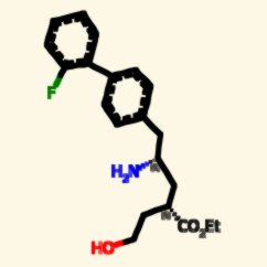 CCOC(=O)[C@H](CCO)C[C@H](N)Cc1ccc(-c2ccccc2F)cc1